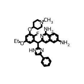 CCOc1cc(OC2CCN(C)CC2)c(F)c(C(c2cc3cc(N)ccc3c(N)n2)c2nc(-c3ccccc3)c[nH]2)c1